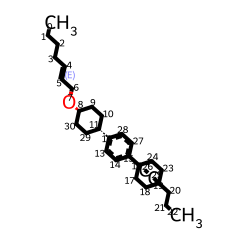 CCCC/C=C/CO[C@H]1CC[C@H](c2ccc(C34CCC(CCC)(CC3)CC4)cc2)CC1